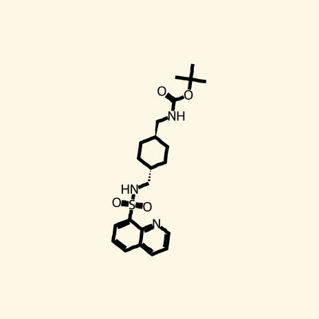 CC(C)(C)OC(=O)NC[C@H]1CC[C@H](CNS(=O)(=O)c2cccc3cccnc23)CC1